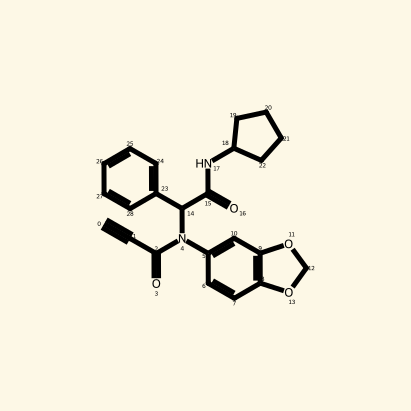 C#CC(=O)N(c1ccc2c(c1)OCO2)C(C(=O)NC1CCCC1)c1ccccc1